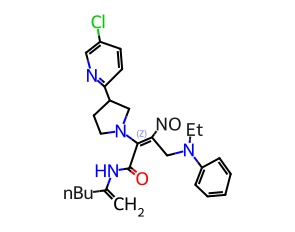 C=C(CCCC)NC(=O)/C(=C(\CN(CC)c1ccccc1)N=O)N1CCC(c2ccc(Cl)cn2)C1